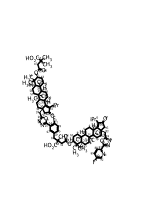 CC(C)C1=C2[C@H]3CC[C@@H]4[C@@]5(C)CC[C@H](OC(=O)CC(C)(Cc6ccc(F)c(-c7nnc(C[C@@]89CC[C@]%10(C)[C@H](CC[C@@H]%11[C@@]%12(C)CC[C@H](OC(=O)CC(C)(C)C(=O)O)C(C)(C)[C@@H]%12CC[C@]%11%10C)C8=C(C(C)C)C(=O)C9)o7)c6)C(=O)O)C(C)(C)[C@@H]5CC[C@@]4(C)[C@]3(C)CC[C@@]2(Cc2nnc(-c3ccc(F)cn3)o2)CC1=O